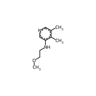 COCCNc1cncc(C)c1C